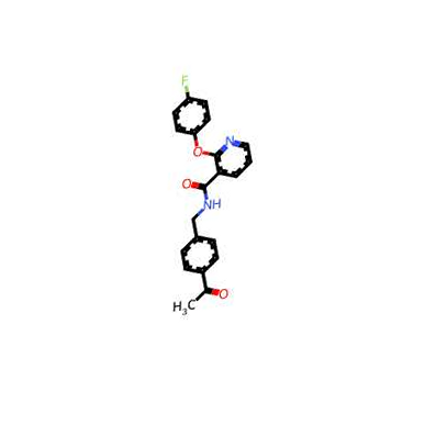 CC(=O)c1ccc(CNC(=O)c2cccnc2Oc2ccc(F)cc2)cc1